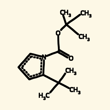 CC(C)(C)OC(=O)n1cccc1C(C)(C)C